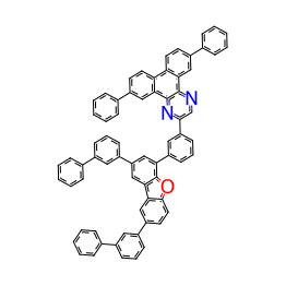 c1ccc(-c2cccc(-c3ccc4oc5c(-c6cccc(-c7cnc8c9cc(-c%10ccccc%10)ccc9c9ccc(-c%10ccccc%10)cc9c8n7)c6)cc(-c6cccc(-c7ccccc7)c6)cc5c4c3)c2)cc1